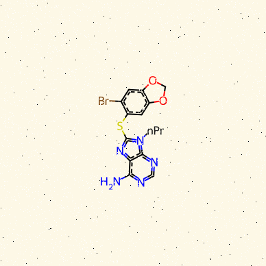 CCCn1c(Sc2cc3c(cc2Br)OCO3)nc2c(N)ncnc21